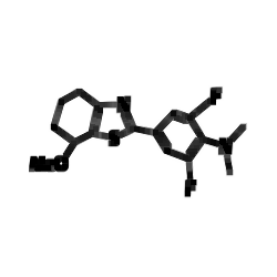 COC1CCCc2nc(-c3cc(F)c(N(C)C)c(F)c3)sc21